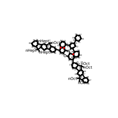 CCCCCCCCC1(CCCCCCC)c2cc(-c3ccc4c(c3)Oc3cc(-c5ccc6c(c5)C(CCCCCCCC)(CCCCCCCC)c5cc7c(cc5-6)C(CCCCCCCC)(CCCCCCCC)c5ccccc5-7)ccc3N4c3c(-c4ccccc4)cc(-c4ccccc4)cc3-c3ccccc3)ccc2-c2cc3c(cc21)-c1ccccc1C3(CCCCCCC)CCCCCCC